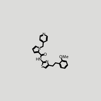 COc1ccccc1CCc1csc(NC(=O)c2cccn2Cc2ccncc2)n1